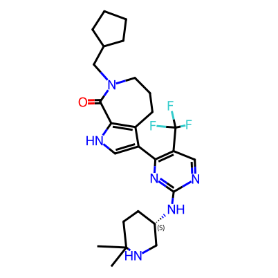 CC1(C)CC[C@H](Nc2ncc(C(F)(F)F)c(-c3c[nH]c4c3CCCN(CC3CCCC3)C4=O)n2)CN1